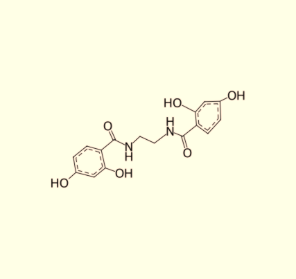 O=C(NCCNC(=O)c1ccc(O)cc1O)c1ccc(O)cc1O